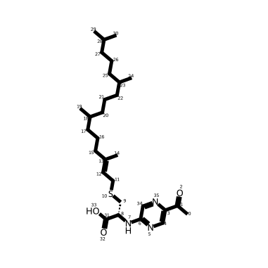 CC(=O)c1cnc(N[C@@H](CSC/C=C(\C)CCCC(C)CCCC(C)CCCC(C)C)C(=O)O)cn1